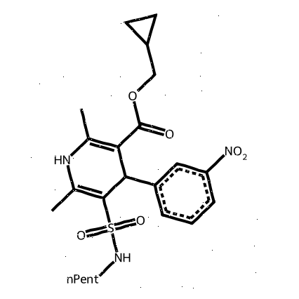 CCCCCNS(=O)(=O)C1=C(C)NC(C)=C(C(=O)OCC2CC2)C1c1cccc([N+](=O)[O-])c1